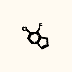 Fc1c(Cl)ccc2c1CC=C2